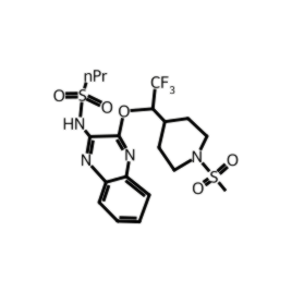 CCCS(=O)(=O)Nc1nc2ccccc2nc1OC(C1CCN(S(C)(=O)=O)CC1)C(F)(F)F